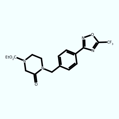 CCOC(=O)N1CCN(Cc2ccc(-c3noc(C(F)(F)F)n3)cc2)C(=O)C1